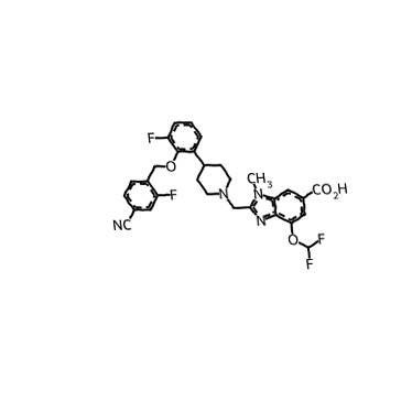 Cn1c(CN2CCC(c3cccc(F)c3OCc3ccc(C#N)cc3F)CC2)nc2c(OC(F)F)cc(C(=O)O)cc21